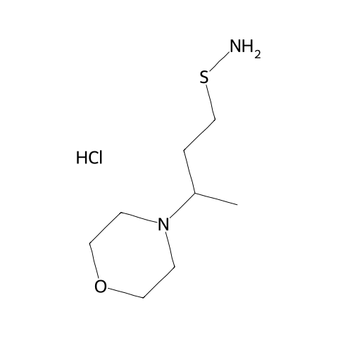 CC(CCSN)N1CCOCC1.Cl